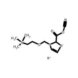 C[Si](C)(C)CCOCN1C=C[N-]C1C(=O)OC#N.[K+]